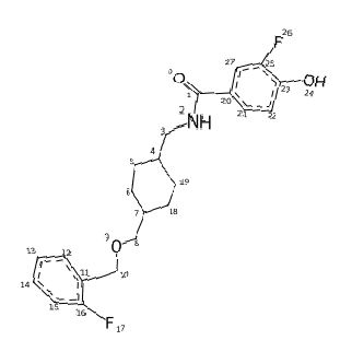 O=C(NCC1CCC(COCc2ccccc2F)CC1)c1ccc(O)c(F)c1